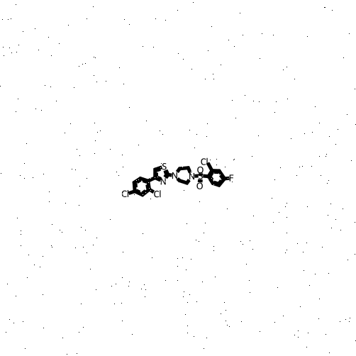 O=S(=O)(c1ccc(F)cc1Cl)N1CCN(c2nc(-c3ccc(Cl)cc3Cl)cs2)CC1